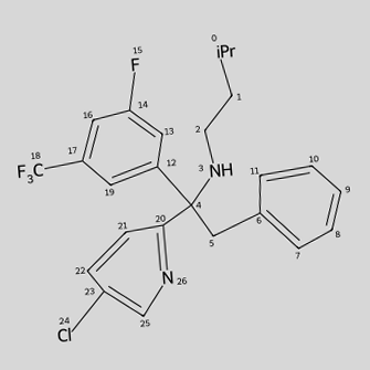 CC(C)CCNC(Cc1ccccc1)(c1cc(F)cc(C(F)(F)F)c1)c1ccc(Cl)cn1